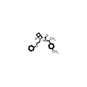 Cc1ccc([C@H](C)NC(=O)[C@H]2C3CC[C@@H]3N2CCOc2ccccc2)cc1